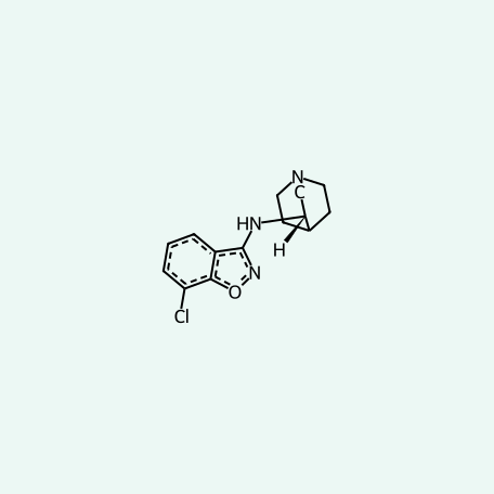 Clc1cccc2c(N[C@@H]3CN4CCC3CC4)noc12